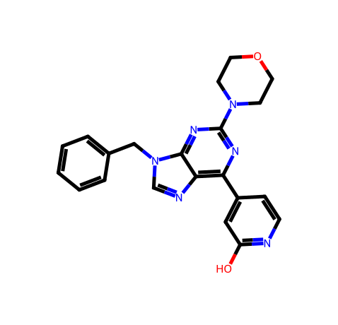 Oc1cc(-c2nc(N3CCOCC3)nc3c2ncn3Cc2ccccc2)ccn1